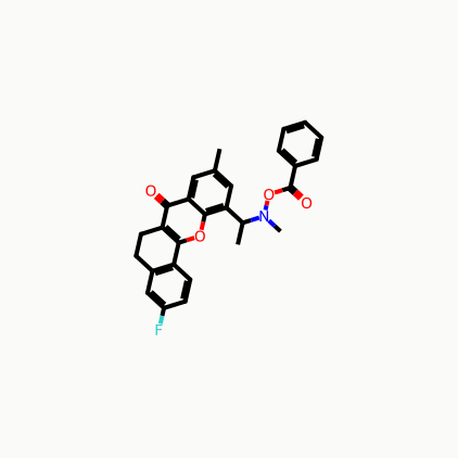 Cc1cc(C(C)N(C)OC(=O)c2ccccc2)c2oc3c(c(=O)c2c1)CCc1cc(F)ccc1-3